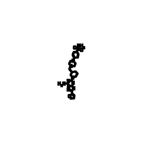 Nc1nc(N2CCCC(CN3CCN(c4ccc(S(N)(=O)=O)cc4)CC3)C2)nc2nc(-c3ccco3)nn12